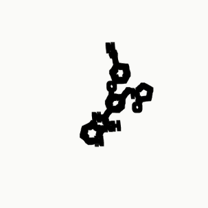 N#Cc1cccc(Oc2cc(-c3nc4cccnc4[nH]3)ccc2CN2CCCC2=O)c1